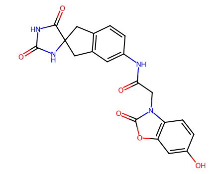 O=C(Cn1c(=O)oc2cc(O)ccc21)Nc1ccc2c(c1)CC1(C2)NC(=O)NC1=O